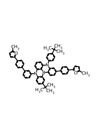 Cc1ccc(-c2ccc(-c3cccc(N4c5ccc(C(C)(C)C)cc5B5c6ccc(-c7ccc(-c8ccc(C)o8)cc7)cc6N(c6ccc(C(C)(C)C)cc6)c6cccc4c65)c3)cc2)o1